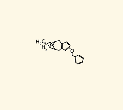 C=CCC1(N)C2CCC1Cc1cc(OCc3ccccc3)ccc1C2